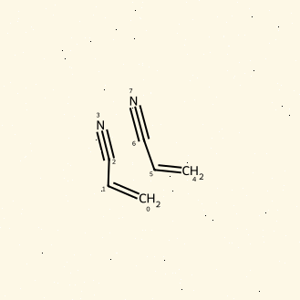 C=CC#N.C=CC#N